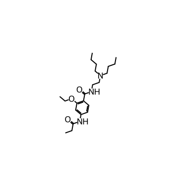 CCCCN(CCCC)CCNC(=O)c1ccc(NC(=O)CC)cc1OCC